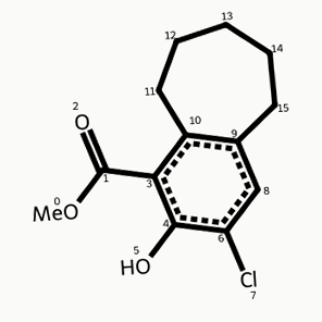 COC(=O)c1c(O)c(Cl)cc2c1CCCCC2